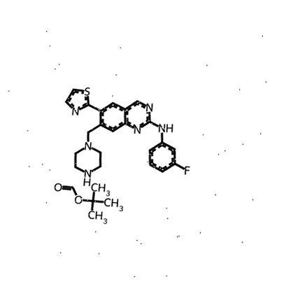 CC(C)(C)OC=O.Fc1cccc(Nc2ncc3cc(-c4nccs4)c(CN4CCNCC4)cc3n2)c1